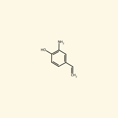 C=Cc1ccc(O)c(N)c1